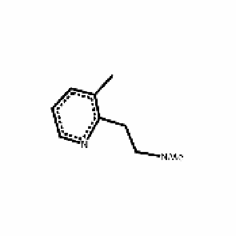 CNCCc1ncccc1C